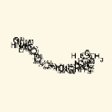 CC(=O)c1c(C)c2cnc(Nc3ccc(N4CCN(CCN5CCC(CC6CCN(c7ccc8c(c7)CN([C@H]7CCC(=O)NC7=O)C8=O)CC6)CC5)CC4)cn3)nc2n(C2CCCC2)c1=O